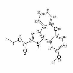 CCOC(=O)c1cc2c(s1)-c1cc(OC)ccc1Oc1ccccc1-2